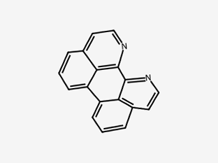 c1cc2ccnc3c4nccc5cccc(c(c1)c23)c54